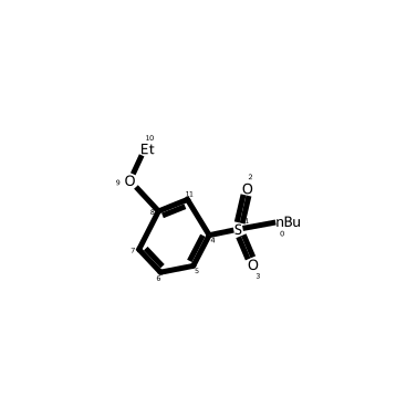 [CH2]CCCS(=O)(=O)c1cccc(OCC)c1